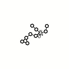 c1ccc(-c2ccc(-c3nc(-c4cccc(-c5ccccc5)c4)nc4oc5ccc(-c6cccc(-c7ccc8c9ccccc9c9ccccc9c8c7)c6)cc5c34)cc2)cc1